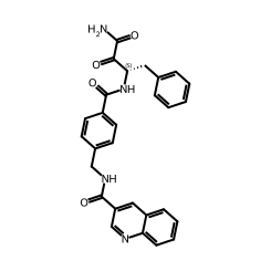 NC(=O)C(=O)[C@H](Cc1ccccc1)NC(=O)c1ccc(CNC(=O)c2cnc3ccccc3c2)cc1